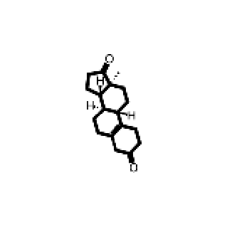 C[C@]12CC[C@@H]3C4=C(CC[C@H]3[C@@H]1CCC2=O)CC(=O)CC4